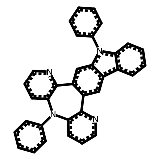 c1ccc(N2c3cccnc3-c3cc4c5ccccc5n(-c5ccccc5)c4cc3-c3ncccc32)cc1